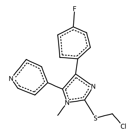 Cn1c(SCCl)nc(-c2ccc(F)cc2)c1-c1ccncc1